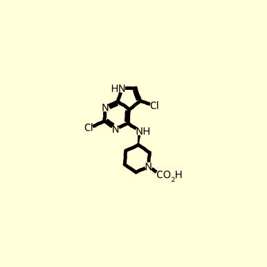 O=C(O)N1CCC[C@@H](Nc2nc(Cl)nc3[nH]cc(Cl)c23)C1